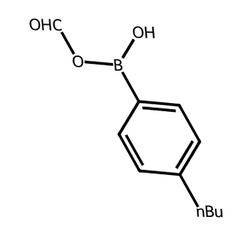 CCCCc1ccc(B(O)OC=O)cc1